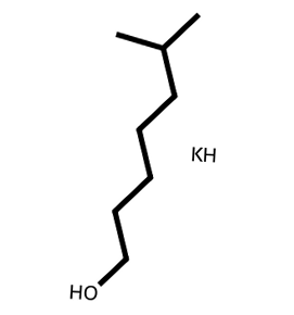 CC(C)CCCCCO.[KH]